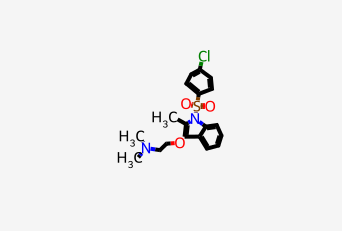 Cc1c(OCCN(C)C)c2ccccc2n1S(=O)(=O)c1ccc(Cl)cc1